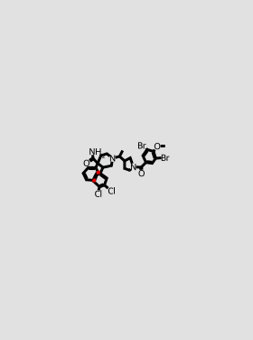 COc1c(Br)cc(C(=O)N2CCC(C(C)N3CCC(C(N)=O)(c4ccccc4)C(c4ccc(Cl)c(Cl)c4)C3)C2)cc1Br